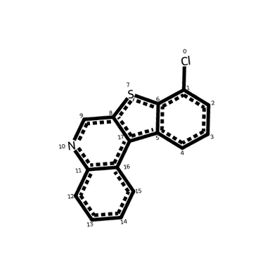 Clc1cccc2c1sc1cnc3ccccc3c12